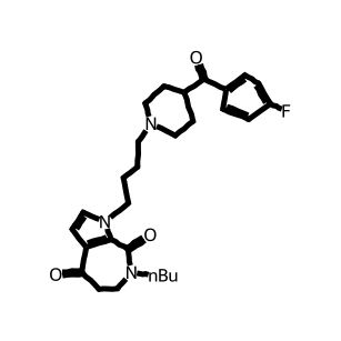 CCCCN1CCC(=O)c2ccn(CCCCN3CCC(C(=O)c4ccc(F)cc4)CC3)c2C1=O